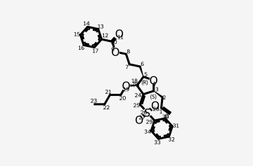 C=CC[C@@H]1O[C@H](CCCOC(=O)c2ccccc2)[C@H](OCCCC)C1=CS(=O)(=O)c1ccccc1